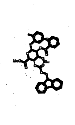 CCCCOC1[C@H](OC(=O)OCC2c3ccccc3-c3ccccc32)C(C(=O)OC)O[C@@H](Sc2cc(C(C)C)ccc2C)[C@H]1OC(=O)c1ccccc1